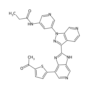 CCC(=O)Nc1cncc(-n2nc(-c3nc4c(-c5ccc(C(C)=O)s5)cncc4[nH]3)c3ccncc32)c1